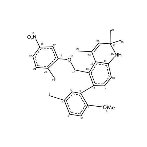 COc1ccc(C)cc1-c1ccc2c(c1COc1cc([N+](=O)[O-])ccc1C)C(C)=CC(C)(C)N2